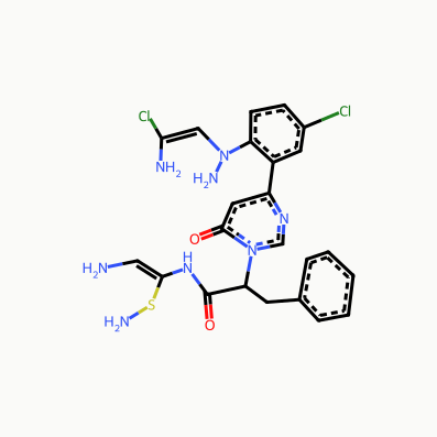 N/C=C(/NC(=O)C(Cc1ccccc1)n1cnc(-c2cc(Cl)ccc2N(N)/C=C(\N)Cl)cc1=O)SN